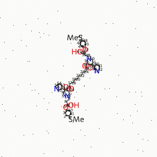 CSc1ccc(O[C@H](O)CCN2CCC(OC(=O)CCCCCCCCC(=O)OC3(c4cccnc4)CCN(CC[C@@H](O)Oc4ccc(SC)cc4)CC3)(c3cccnc3)CC2)cc1